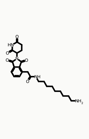 NCCCCCCCCCNC(=O)Cc1cccc2c1C(=O)N(C1CCC(=O)NC1=O)C2=O